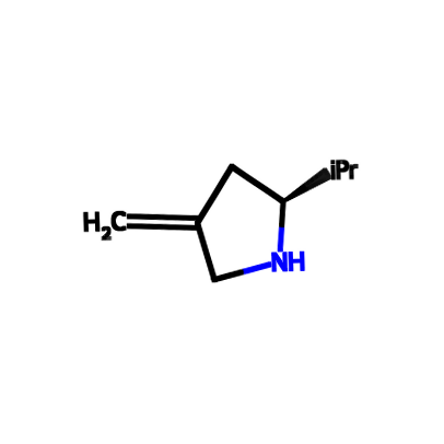 C=C1CN[C@H](C(C)C)C1